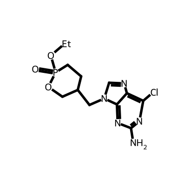 CCOP1(=O)CCC(Cn2cnc3c(Cl)nc(N)nc32)CO1